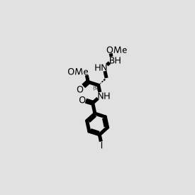 COBNC[C@H](NC(=O)c1ccc(I)cc1)C(=O)OC